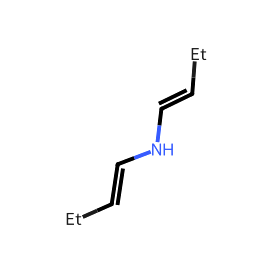 CCC=CNC=CCC